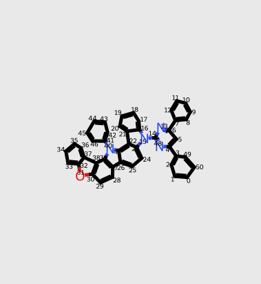 c1ccc(-c2cc(-c3ccccc3)nc(-n3c4ccccc4c4c3ccc3c5ccc6oc7ccccc7c6c5n(-c5ccccc5)c34)n2)cc1